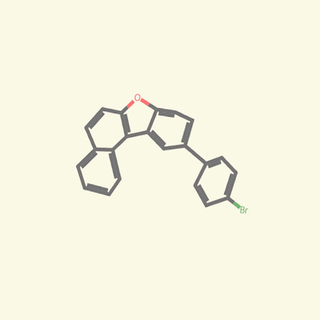 Brc1ccc(-c2ccc3oc4ccc5ccccc5c4c3c2)cc1